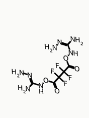 NN=C(N)NOC(=O)C(F)(F)C(F)(F)C(=O)ONC(N)=NN